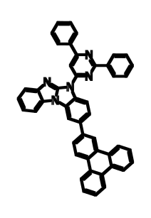 c1ccc(-c2cc(-n3c4ccc(-c5ccc6c7ccccc7c7ccccc7c6c5)cc4n4c5ccccc5nc34)nc(-c3ccccc3)n2)cc1